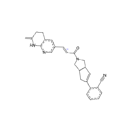 C=C1CCc2cc(/C=C/C(=O)N3CC4C=C(c5ccccc5C#N)CC4C3)cnc2N1